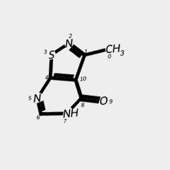 Cc1nsc2nc[nH]c(=O)c12